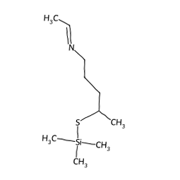 CC=NCCCC(C)S[Si](C)(C)C